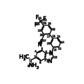 C[C@@H](N)c1ccc2c(c1)ncn2-c1cccc(-c2ccc(C(F)(F)F)cc2C#N)c1